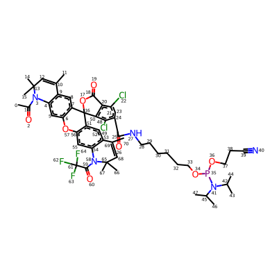 CC(=O)N1c2cc3c(cc2C(C)=CC1(C)C)C1(OC(=O)c2c(Cl)cc(C(=O)NCCCCCCOP(OCCC#N)N(C(C)C)C(C)C)c(Cl)c21)c1cc2c(cc1O3)N(C(=O)C(F)(F)F)C(C)(C)C=C2C